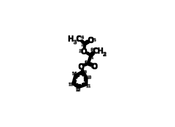 C=C(OC(C)=O)C(=O)Oc1ccccc1